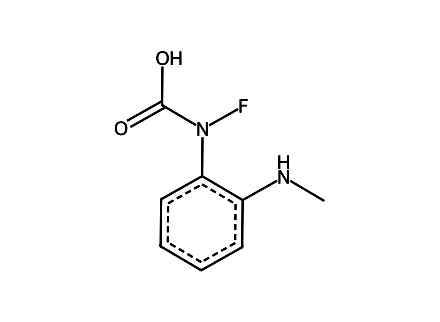 CNc1ccccc1N(F)C(=O)O